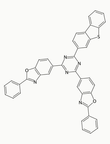 c1ccc(-c2nc3cc(-c4nc(-c5ccc6oc(-c7ccccc7)nc6c5)nc(-c5ccc6c(c5)sc5ccccc56)n4)ccc3o2)cc1